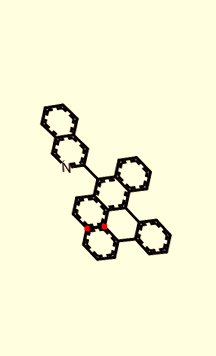 c1ccc(-c2ccccc2-c2c3ccccc3c(-c3cc4ccccc4cn3)c3ccccc23)cc1